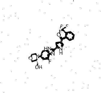 O=C(c1c[nH]c(-c2nc3c(F)cc(N4CCOC[C@H]4CO)cc3[nH]2)c1)c1ccccc1C(F)(F)F